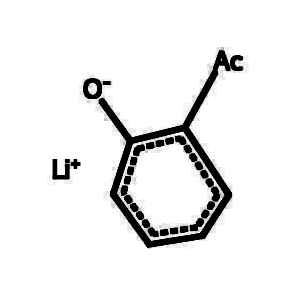 CC(=O)c1ccccc1[O-].[Li+]